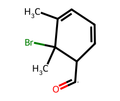 CC1=CC=CC([C]=O)C1(C)Br